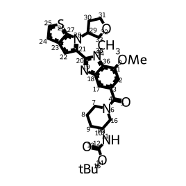 COc1cc(C(=O)N2CCC[C@@H](NC(=O)OC(C)(C)C)C2)cc2nc(-c3cc4ccsc4n3C3CCOC3)n(C)c12